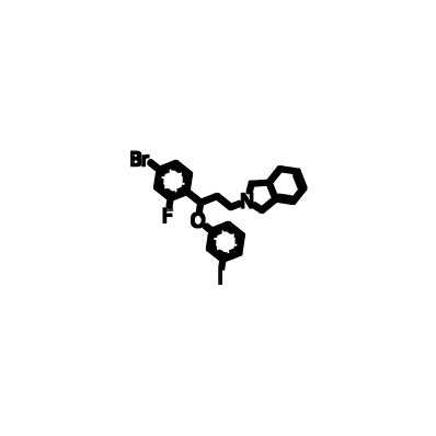 Fc1cc(Br)ccc1C(CCN1CC2=CC=CCC2C1)Oc1cccc(I)c1